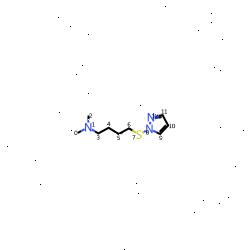 CN(C)CC[CH]CSn1cccn1